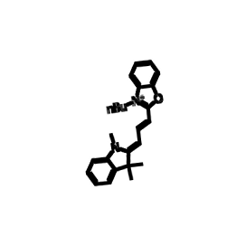 CCCC[n+]1c(C=CC=C2N(C)c3ccccc3C2(C)C)oc2ccccc21